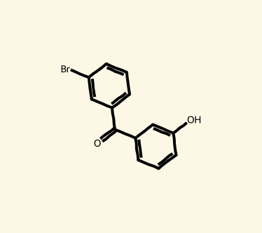 O=C(c1cccc(O)c1)c1cccc(Br)c1